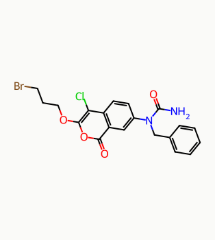 NC(=O)N(Cc1ccccc1)c1ccc2c(Cl)c(OCCCBr)oc(=O)c2c1